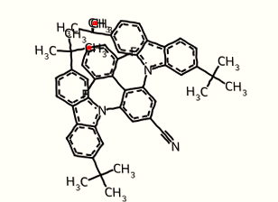 CC(C)(C)c1ccc2c3ccc(C(C)(C)C)cc3n(-c3cc(C#N)cc(-n4c5cc(C(C)(C)C)ccc5c5ccc(C(C)(C)C)cc54)c3-c3c(F)cccc3F)c2c1